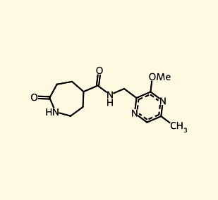 COc1nc(C)cnc1CNC(=O)C1CCNC(=O)CC1